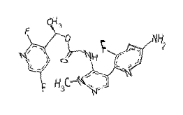 C[C@@H](OC(=O)Nc1c(-c2ncc(N)cc2F)cnn1C)c1cc(F)cnc1F